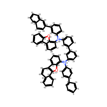 c1ccc(-c2ccc(N(c3cccc(-c4cccc(N(c5cccc(-c6ccc7ccccc7c6)c5)c5cccc6c5oc5ccccc56)c4)c3)c3cccc4c3oc3c5ccccc5ccc43)cc2)cc1